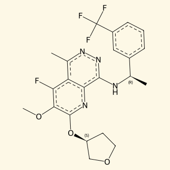 COc1c(O[C@H]2CCOC2)nc2c(N[C@H](C)c3cccc(C(F)(F)F)c3)nnc(C)c2c1F